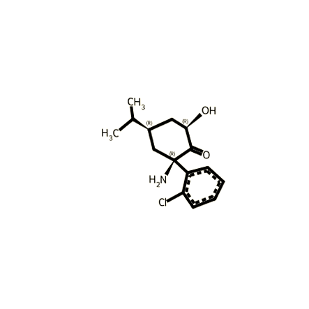 CC(C)[C@H]1C[C@@H](O)C(=O)[C@](N)(c2ccccc2Cl)C1